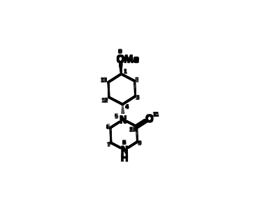 CO[C@H]1CC[C@H](N2CCNCC2=O)CC1